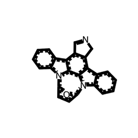 C1=NCc2c1c1c3ccccc3n3c4ccc(o4)n4c5ccccc5c2c4c13